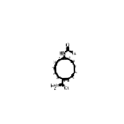 NC(=O)C1CCCCCCC(NC(=O)I)CCCCC1